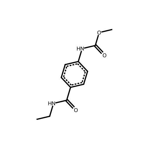 CCNC(=O)c1ccc(NC(=O)OC)cc1